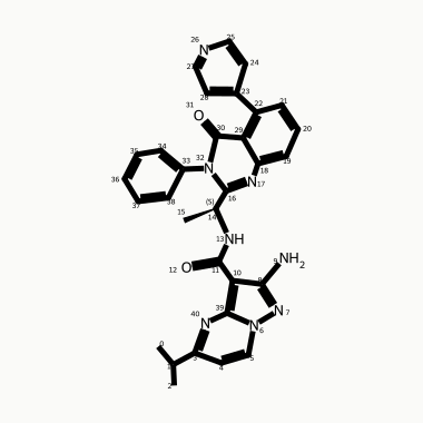 CC(C)c1ccn2nc(N)c(C(=O)N[C@@H](C)c3nc4cccc(-c5ccncc5)c4c(=O)n3-c3ccccc3)c2n1